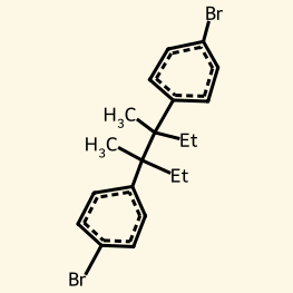 CCC(C)(c1ccc(Br)cc1)C(C)(CC)c1ccc(Br)cc1